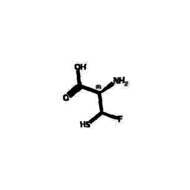 N[C@H](C(=O)O)C(F)S